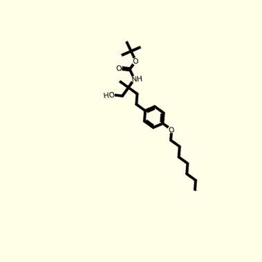 CCCCCCCOc1ccc(CCC(C)(CO)NC(=O)OC(C)(C)C)cc1